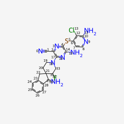 N#Cc1nc(Sc2ccnc(N)c2Cl)c(N)nc1N1CCC2(Cc3ccccc3[C@H]2N)C(F)C1